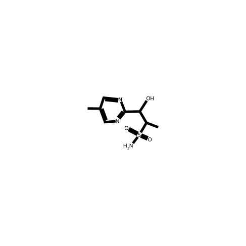 Cc1cnc(C(O)C(C)S(N)(=O)=O)nc1